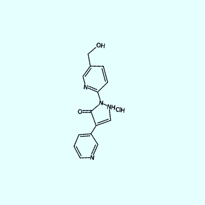 Cl.O=c1c(-c2cccnc2)c[nH]n1-c1ccc(CO)cn1